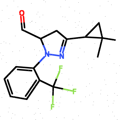 CC1(C)CC1C1=NN(c2ccccc2C(F)(F)F)C(C=O)C1